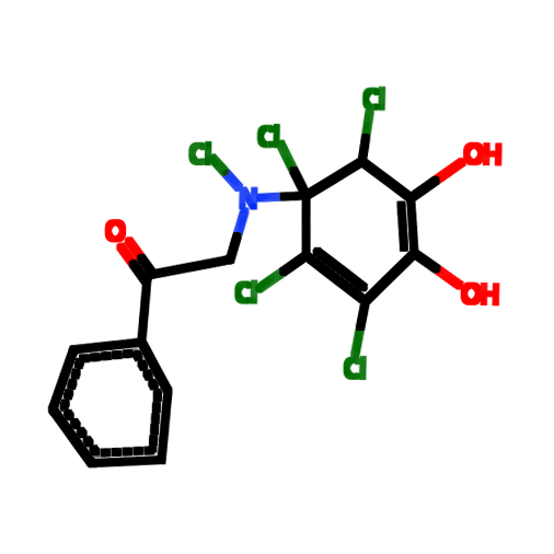 O=C(CN(Cl)C1(Cl)C(Cl)=C(Cl)C(O)=C(O)C1Cl)c1ccccc1